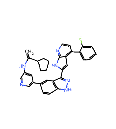 C=C(Nc1cncc(-c2ccc3[nH]nc(-c4cc5c(-c6ccccc6F)ccnc5[nH]4)c3c2)c1)C1CCCC1